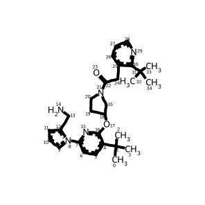 CC(C)(C)c1ccc(-n2cccc2CN)nc1OC1CCN(C(=O)Cc2cccnc2C(C)(C)C)C1